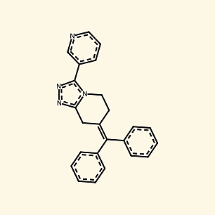 c1ccc(C(=C2CCn3c(nnc3-c3cccnc3)C2)c2ccccc2)cc1